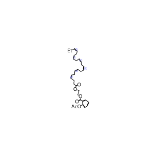 CC/C=C\C/C=C\C/C=C\C/C=C\C/C=C\C/C=C\CCC(=O)OCCOC(=O)c1ccccc1OC(C)=O